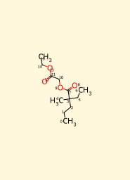 CCCC(C)(CC)C(=O)OCC(=O)OCC